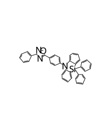 c1ccc(-c2noc(-c3ccc(N4c5ccccc5[Si](c5ccccc5)(c5ccccc5)c5ccccc54)cc3)n2)cc1